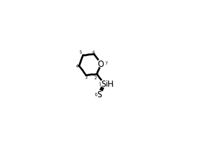 S=[SiH]C1CCCCO1